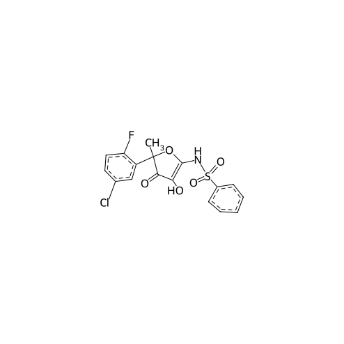 CC1(c2cc(Cl)ccc2F)OC(NS(=O)(=O)c2ccccc2)=C(O)C1=O